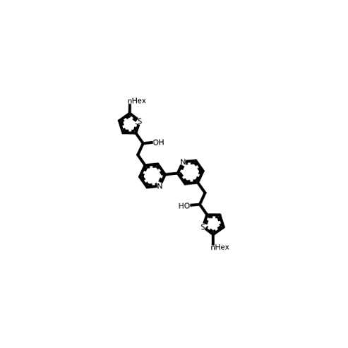 CCCCCCc1ccc(C(O)Cc2ccnc(-c3cc(CC(O)c4ccc(CCCCCC)s4)ccn3)c2)s1